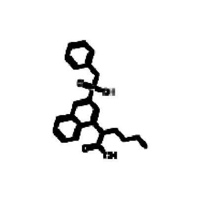 CCCCC(C(=O)O)c1cc(P(=O)(O)Cc2ccccc2)cc2ccccc12